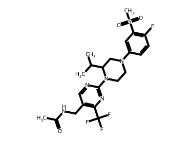 CC(=O)NCc1cnc(N2CCN(c3ccc(F)c(S(C)(=O)=O)c3)CC2C(C)C)nc1C(F)(F)F